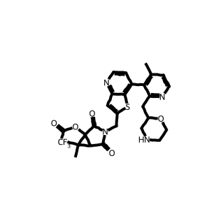 Cc1ccnc(CC2CNCCO2)c1-c1ccnc2cc(CN3C(=O)C4C(C)(C)C4(OC(=O)C(F)(F)F)C3=O)sc12